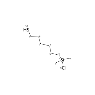 C[Si](C)(Cl)CCCCCCS